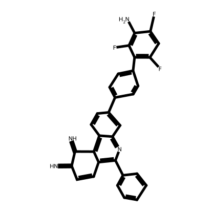 N=C1C=Cc2c(-c3ccccc3)nc3cc(-c4ccc(-c5c(F)cc(F)c(N)c5F)cc4)ccc3c2C1=N